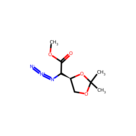 COC(=O)C(N=[N+]=[N-])[C@@H]1COC(C)(C)O1